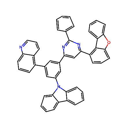 c1ccc(-c2nc(-c3cc(-c4cccc5ncccc45)cc(-n4c5ccccc5c5ccccc54)c3)cc(-c3cccc4oc5ccccc5c34)n2)cc1